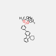 CC1(C)OB(c2cccc(-c3ccc4c(c3)-c3ccccc3C43CCCCC3)c2)OC1(C)C